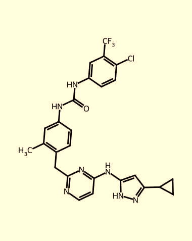 Cc1cc(NC(=O)Nc2ccc(Cl)c(C(F)(F)F)c2)ccc1Cc1nccc(Nc2cc(C3CC3)n[nH]2)n1